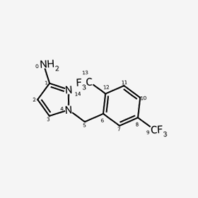 Nc1ccn(Cc2cc(C(F)(F)F)ccc2C(F)(F)F)n1